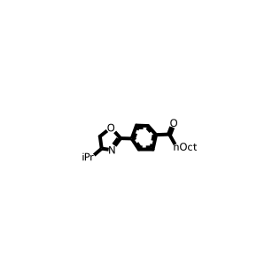 CCCCCCCCC(=O)c1ccc(C2=NC(C(C)C)CO2)cc1